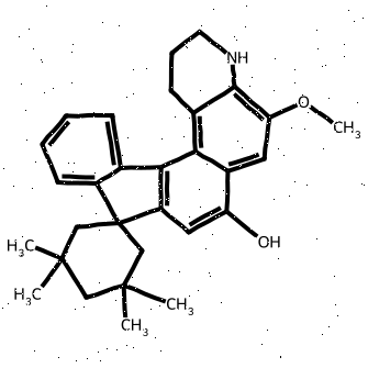 COc1cc2c(O)cc3c(c2c2c1NCCC2)-c1ccccc1C31CC(C)(C)CC(C)(C)C1